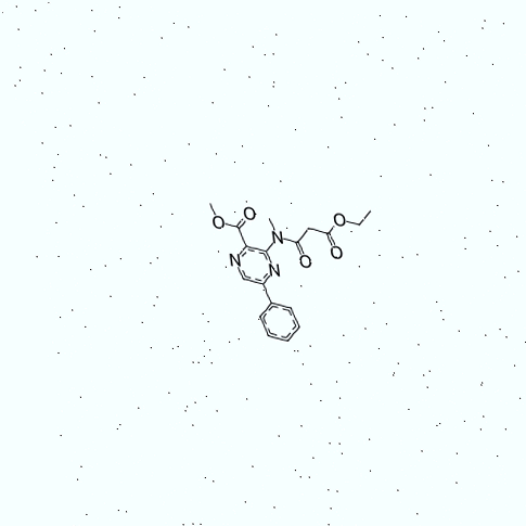 CCOC(=O)CC(=O)N(C)c1nc(-c2ccccc2)cnc1C(=O)OC